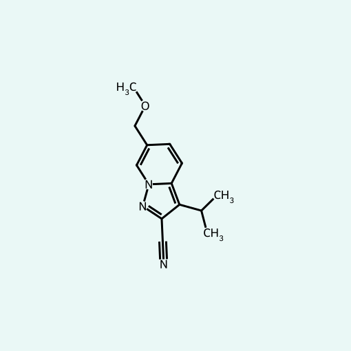 COCc1ccc2c(C(C)C)c(C#N)nn2c1